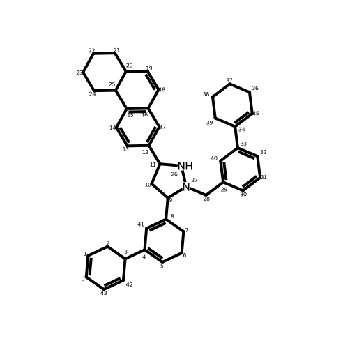 C1=CCC(C2=CCCC(C3CC(c4ccc5c(c4)C=CC4CCCCC54)NN3Cc3cccc(C4=CCCCC4)c3)=C2)C=C1